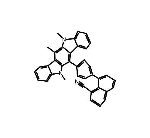 Cc1c2c3ccccc3n(C)c2c(-c2ccc(-c3cccc4cccc(C#N)c34)cc2)c2c3ccccc3n(C)c12